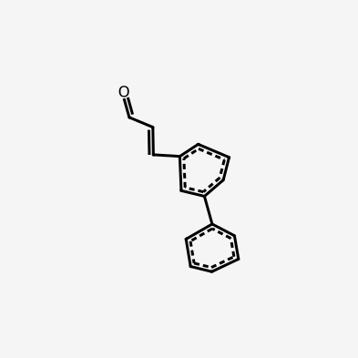 O=CC=Cc1cccc(-c2ccccc2)c1